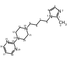 Cc1nccn1CCCCN1CCN(c2ncccn2)CC1